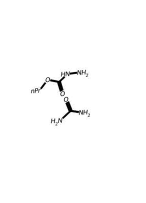 CCCOC(=O)NN.NC(N)=O